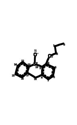 CCCOc1cccc2c1[S+]([O-])c1ccccc1C2